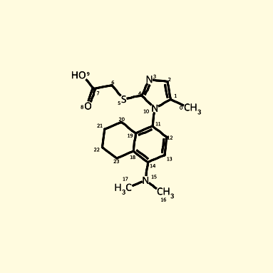 Cc1cnc(SCC(=O)O)n1-c1ccc(N(C)C)c2c1CCCC2